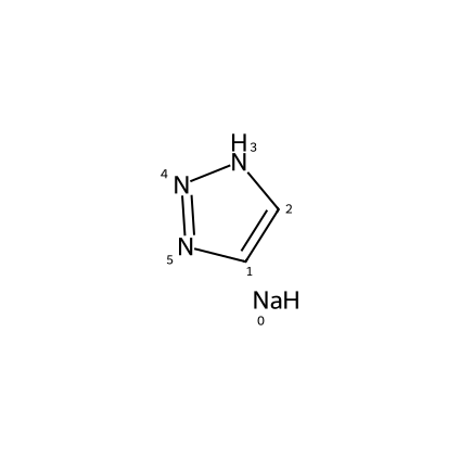 [NaH].c1c[nH]nn1